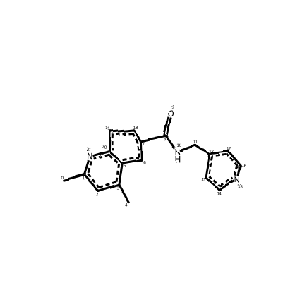 Cc1cc(C)c2cc(C(=O)NCc3ccncc3)ccc2n1